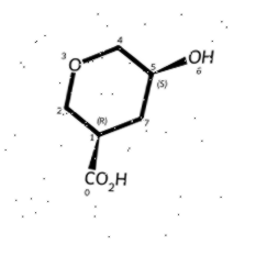 O=C(O)[C@H]1COC[C@@H](O)C1